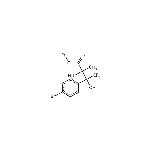 CC(C)OC(=O)C(C)(C)C(O)(c1ccc(Br)cc1)C(F)(F)F